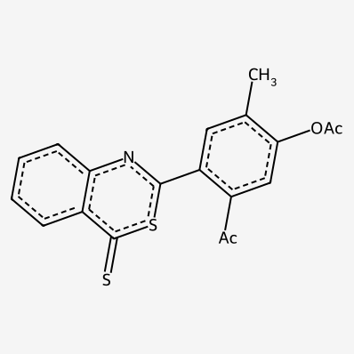 CC(=O)Oc1cc(C(C)=O)c(-c2nc3ccccc3c(=S)s2)cc1C